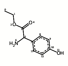 CCOC(=O)C(N)c1ccc(O)cc1